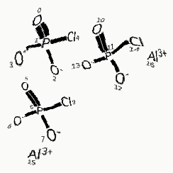 O=P([O-])([O-])Cl.O=P([O-])([O-])Cl.O=P([O-])([O-])Cl.[Al+3].[Al+3]